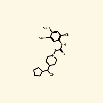 COc1cc(C#N)c(NC(=O)SN2CCC(C(O)C3CCCC3)CC2)cc1OC